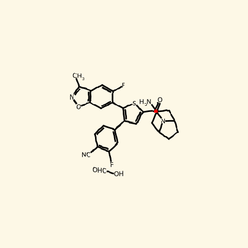 Cc1noc2cc(-c3sc(C(=O)N4C5CCC4CC(N)C5)cc3-c3ccc(C#N)c(F)c3)c(F)cc12.O=CO